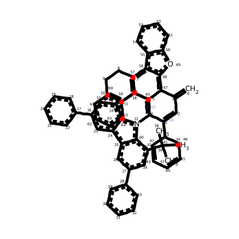 C=C(/C=C(\C(=C\C1=CCCC=C1)n1c2ccc(-c3ccccc3)cc2c2cc(-c3ccccc3)cc(C(C)(C)C)c21)C1C=CC=CC1)C1=c2oc3ccccc3c2=NC(c2ccccc2)N1